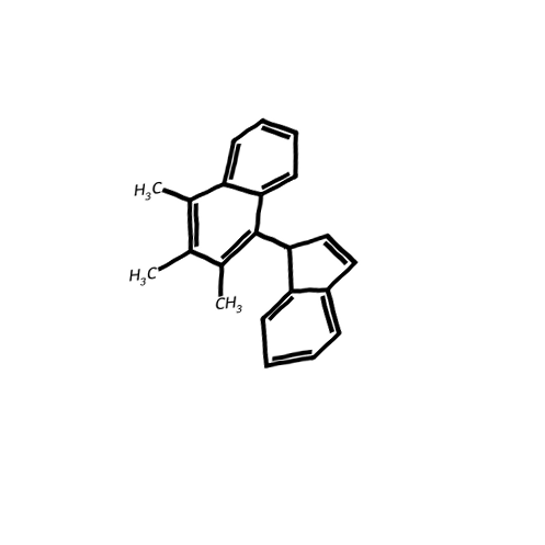 Cc1c(C)c([C]2C=Cc3ccccc32)c2ccccc2c1C